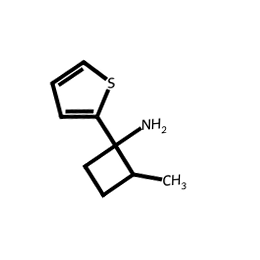 CC1CCC1(N)c1cccs1